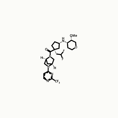 CO[C@@H]1COCC[C@@H]1N[C@H]1CC[C@](CC(F)F)(C(=O)N2C[C@@H]3C[C@H]2CN3c2ccnc(C(F)(F)F)n2)C1